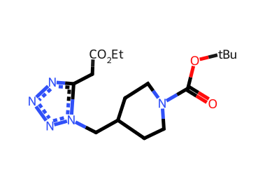 CCOC(=O)Cc1nnnn1CC1CCN(C(=O)OC(C)(C)C)CC1